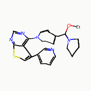 CCOC(C1CCN(c2ncnc3scc(-c4cccnc4)c23)CC1)N1CCCC1